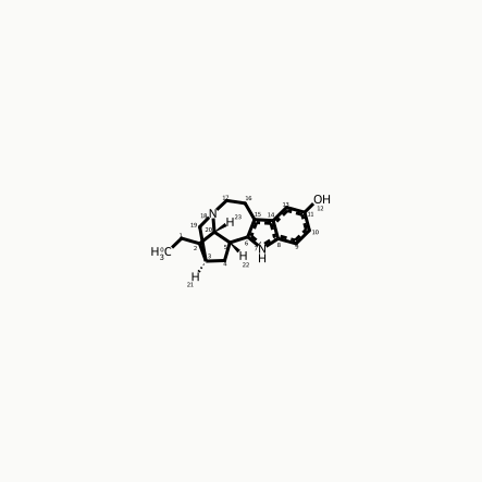 CCC1[C@@H]2C[C@H]3c4[nH]c5ccc(O)cc5c4CCN(C2)[C@@H]13